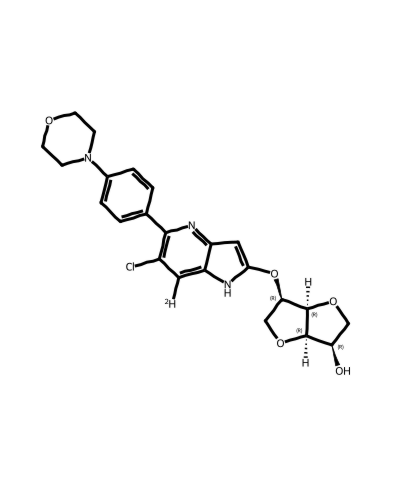 [2H]c1c(Cl)c(-c2ccc(N3CCOCC3)cc2)nc2cc(O[C@@H]3CO[C@H]4[C@@H]3OC[C@H]4O)[nH]c12